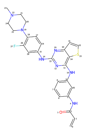 C=CC(=O)Nc1cccc(Nc2nc(Nc3ccc(N4CCN(C)CC4)c(F)c3)nc3ccsc23)c1